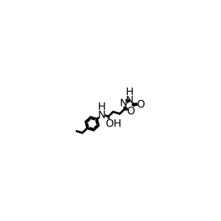 CCc1ccc(NC(O)CCc2n[nH]c(=O)o2)cc1